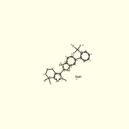 Cn1nc2c(c1-c1nc3cc(-c4ccccc4C(F)(F)F)ccc3[nH]1)CCCC2(C)C.[NaH]